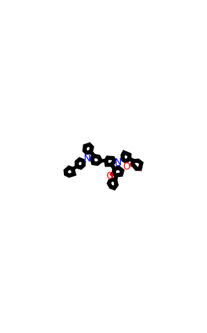 c1ccc(-c2ccc(-n3c4ccccc4c4cc(-c5ccc6c(c5)c5c7oc8ccccc8c7ccc5n6-c5cccc6c5oc5ccccc56)ccc43)cc2)cc1